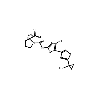 Cc1nc(NC(=O)N2CCC[C@@]2(C)C(N)=O)sc1-c1csc(C2(C)CC2)n1